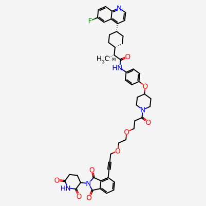 C[C@@H](C(=O)Nc1ccc(OC2CCN(C(=O)CCOCCOCC#Cc3cccc4c3C(=O)N(C3CCC(=O)NC3=O)C4=O)CC2)cc1)[C@H]1CC[C@@H](c2ccnc3ccc(F)cc32)CC1